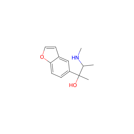 CNC(C)C(C)(O)c1ccc2occc2c1